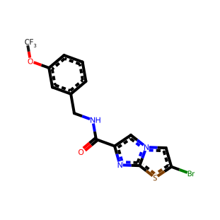 O=C(NCc1cccc(OC(F)(F)F)c1)c1cn2cc(Br)sc2n1